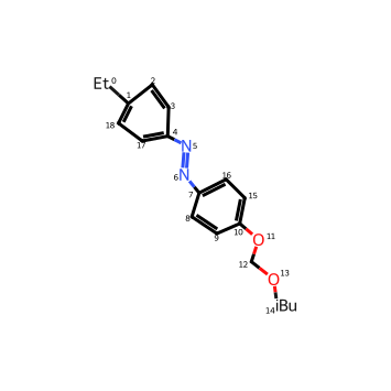 CCc1ccc(/N=N/c2ccc(OCOC(C)CC)cc2)cc1